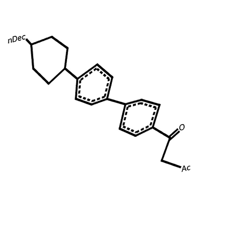 CCCCCCCCCCC1CCC(c2ccc(-c3ccc(C(=O)CC(C)=O)cc3)cc2)CC1